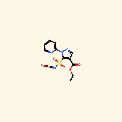 CCOC(=O)c1cnn(-c2ccccn2)c1S(=O)(=O)N=C=O